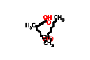 CCCCC(C)C#CC(=O)O.CCCCCCCC(=O)OC